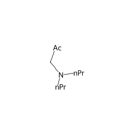 CCCN(CCC)C[13C](C)=[18O]